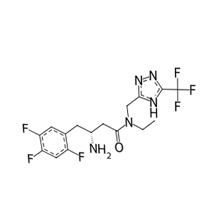 CCN(Cc1nnc(C(F)(F)F)[nH]1)C(=O)C[C@H](N)Cc1cc(F)c(F)cc1F